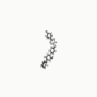 Fc1cnc(N2CCC(Oc3ccc(-c4ccc(-n5cnnn5)cc4F)cc3)CC2)nc1